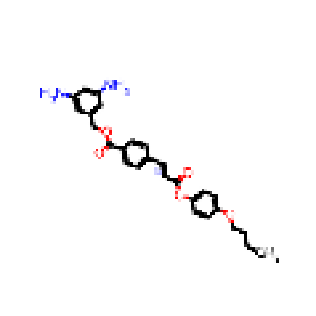 CCCCOc1ccc(OC(=O)/C=C/c2ccc(C(=O)OCc3cc(N)cc(N)c3)cc2)cc1